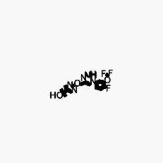 CC(C)(O)c1cnc(OC/C(=C/Nc2ccc(F)c(OC(F)F)c2)N=N)nc1